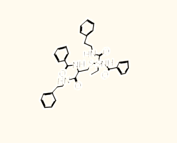 CCS(NC(=O)c1ccccc1)(SCC(NC(=O)c1ccccc1)C(=O)NCCc1ccccc1)C(=O)NCCc1ccccc1